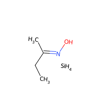 CCC(C)=NO.[SiH4]